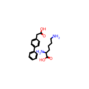 NCCCCC(N)C(=O)O.O=C(O)Cc1ccc(-c2ccccc2)cc1